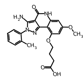 COc1cc(OCCCC(=O)O)c2c(c1)[nH]c(=O)c1c(N)n(-c3ccccc3C)nc12